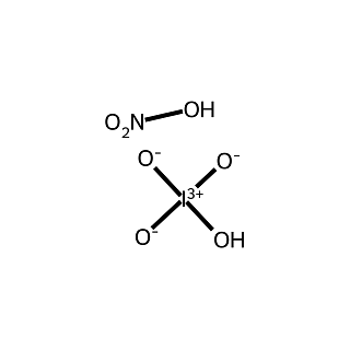 O=[N+]([O-])O.[O-][I+3]([O-])([O-])O